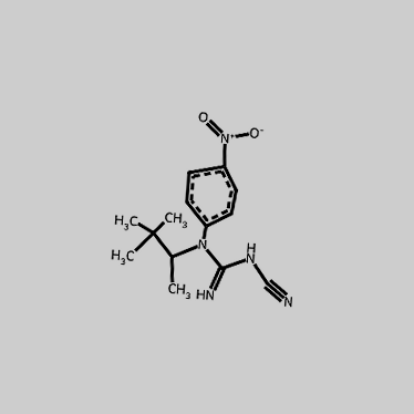 CC(N(C(=N)NC#N)c1ccc([N+](=O)[O-])cc1)C(C)(C)C